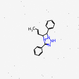 CC=CC1C(c2ccccc2)N2NN=C(c3ccccc3)N12